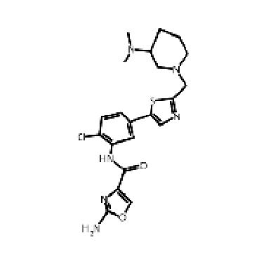 CN(C)C1CCCN(Cc2ncc(-c3ccc(Cl)c(NC(=O)c4coc(N)n4)c3)s2)C1